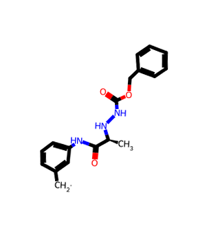 [CH2]c1cccc(NC(=O)[C@H](C)NNC(=O)OCc2ccccc2)c1